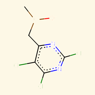 C[S+]([O-])Cc1nc(Cl)nc(Cl)c1Cl